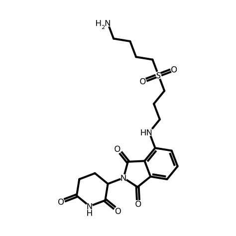 NCCCCS(=O)(=O)CCCNc1cccc2c1C(=O)N(C1CCC(=O)NC1=O)C2=O